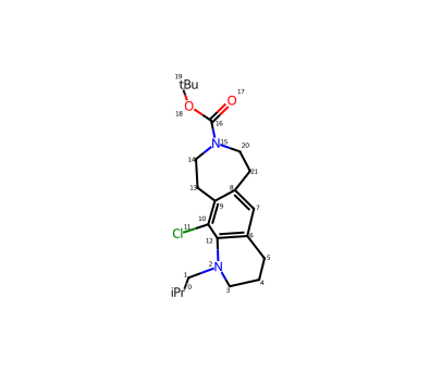 CC(C)CN1CCCc2cc3c(c(Cl)c21)CCN(C(=O)OC(C)(C)C)CC3